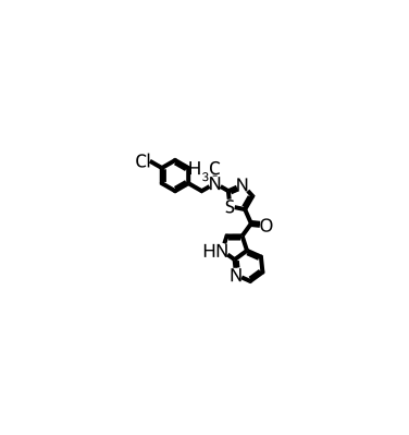 CN(Cc1ccc(Cl)cc1)c1ncc(C(=O)c2c[nH]c3ncccc23)s1